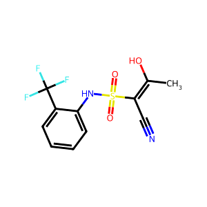 CC(O)=C(C#N)S(=O)(=O)Nc1ccccc1C(F)(F)F